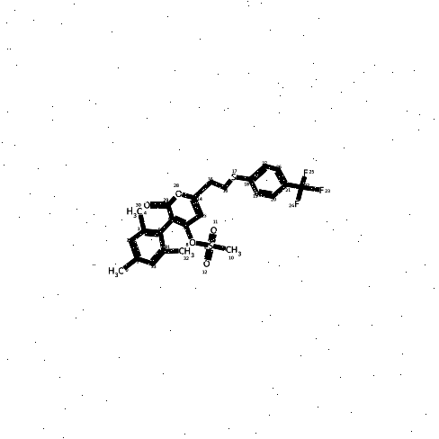 Cc1cc(C)c(-c2c(OS(C)(=O)=O)cc(CCSc3ccc(C(F)(F)F)cc3)oc2=O)c(C)c1